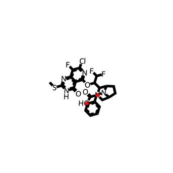 CSc1nc2c(F)c(Cl)nc(OC(C(F)F)C3C4CCC(CN3C(=O)O)N4Cc3ccccc3)c2c(=O)[nH]1